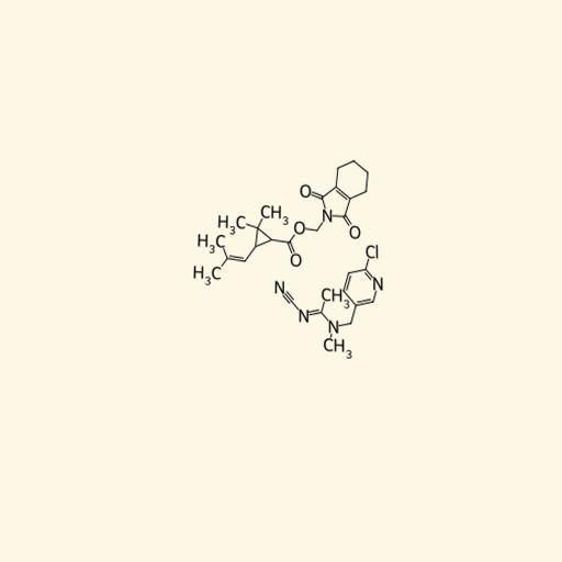 C/C(=N\C#N)N(C)Cc1ccc(Cl)nc1.CC(C)=CC1C(C(=O)OCN2C(=O)C3=C(CCCC3)C2=O)C1(C)C